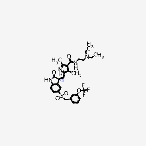 CCN(CC)CCNC(=O)c1c(C)[nH]c(/C=C2\C(=O)Nc3ccc(S(=O)(=O)Cc4cccc(OC(F)(F)F)c4)cc32)c1C